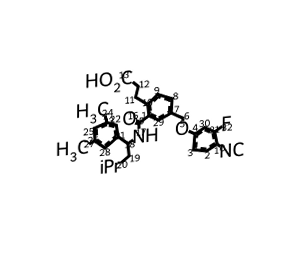 [C-]#[N+]c1ccc(OCc2ccc(CCC(=O)O)c(C(=O)NC(CC(C)C)c3cc(C)cc(C)c3)c2)cc1F